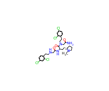 CN1CCC[C@H]1CCC(NC(=O)CNCCc1ccc(Cl)cc1Cl)C(=O)N(CCc1ccc(Cl)cc1Cl)CC(N)=O